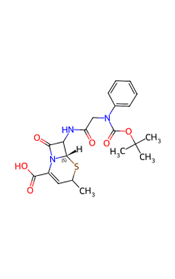 CC1C=C(C(=O)O)N2C(=O)C(NC(=O)CN(C(=O)OC(C)(C)C)c3ccccc3)[C@@H]2S1